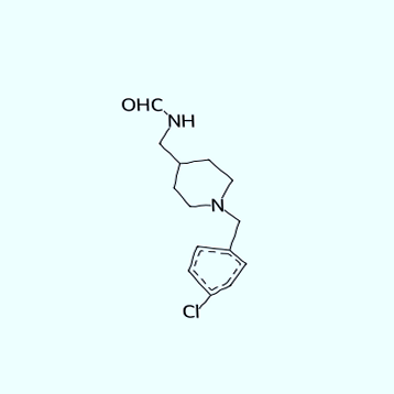 O=CNCC1CCN(Cc2ccc(Cl)cc2)CC1